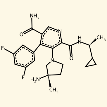 C[C@H](NC(=O)c1ncc(C(N)=O)c(-c2cc(F)cc(F)c2)c1N1CC[C@](C)(N)C1)C1CC1